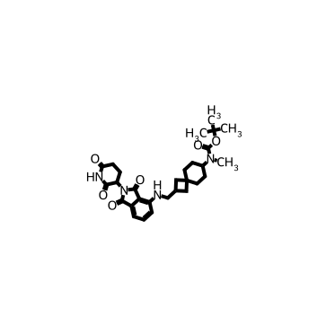 CN(C(=O)OC(C)(C)C)C1CCC2(CC1)CC(CNc1cccc3c1C(=O)N(C1CCC(=O)NC1=O)C3=O)C2